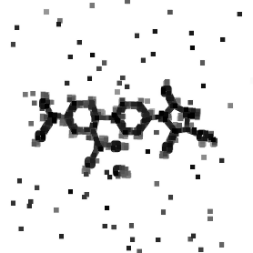 CC1NC(=O)N(c2cc[n+](-c3ccc([N+](=O)[O-])cc3[N+](=O)[O-])cc2)C1=O.[Cl-]